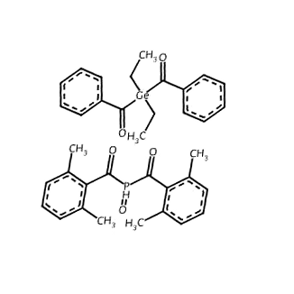 C[CH2][Ge]([CH2]C)([C](=O)c1ccccc1)[C](=O)c1ccccc1.Cc1cccc(C)c1C(=O)[PH](=O)C(=O)c1c(C)cccc1C